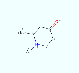 CCCCC1CC(=O)CCN1C(C)=O